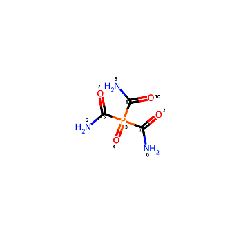 NC(=O)P(=O)(C(N)=O)C(N)=O